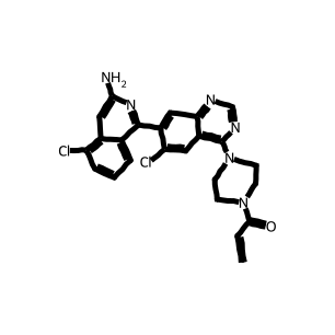 C=CC(=O)N1CCN(c2ncnc3cc(-c4nc(N)cc5c(Cl)cccc45)c(Cl)cc23)CC1